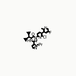 Cc1ncc(F)cc1-c1ccc(NC(=O)C(NC(=O)c2ccnn2C(C)C)C(C2CC2)C2CC2)nc1Cl